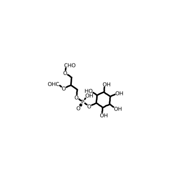 O=COCC(COP(=O)(O)OC1C(O)C(O)C(O)C(O)C1O)OC=O